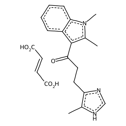 Cc1[nH]cnc1CCC(=O)c1c(C)n(C)c2ccccc12.O=C(O)C=CC(=O)O